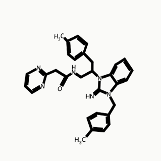 Cc1ccc(CC(CNC(=O)Cc2ncccn2)n2c(=N)n(Cc3ccc(C)cc3)c3ccccc32)cc1